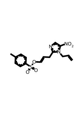 C=CCn1c([N+](=O)[O-])cnc1CC=COS(=O)(=O)c1ccc(C)cc1